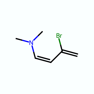 C=C(Br)/C=C\N(C)C